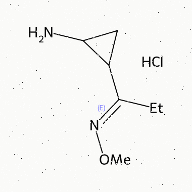 CC/C(=N\OC)C1CC1N.Cl